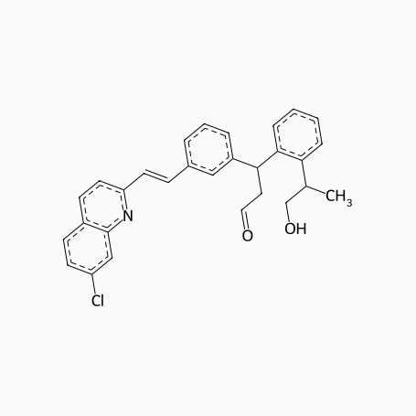 CC(CO)c1ccccc1C(CC=O)c1cccc(C=Cc2ccc3ccc(Cl)cc3n2)c1